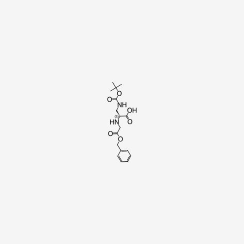 CC(C)(C)OC(=O)NC[C@H](NCC(=O)OCc1ccccc1)C(=O)O